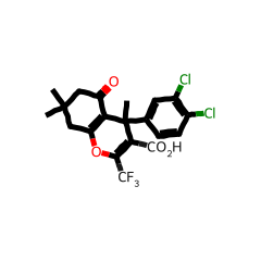 CC1(C)CC(=O)C2=C(C1)OC(C(F)(F)F)=C(C(=O)O)C2(C)c1ccc(Cl)c(Cl)c1